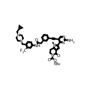 Cn1c(-c2nc(N)ncc2C#Cc2cccc(CC(=O)Nc3ccc(CN4CCN(CC5CC5)CC4)c(C(F)(F)F)c3)c2)cc2c1CCN(C(=O)OC(C)(C)C)C2=O